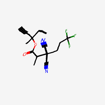 C#CC(C)(CC)OC(=O)C(C)C(C#N)(C#N)CCC(F)(F)F